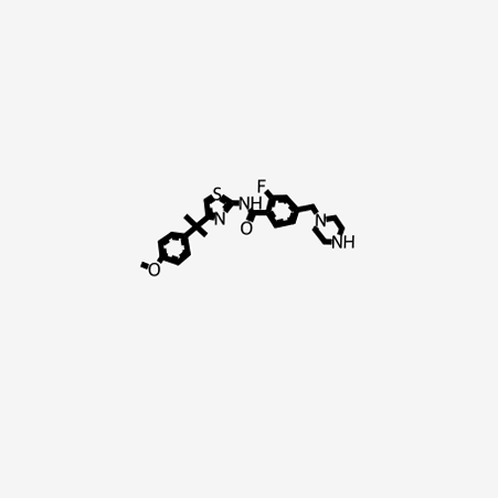 COc1ccc(C(C)(C)c2csc(NC(=O)c3ccc(CN4CCNCC4)cc3F)n2)cc1